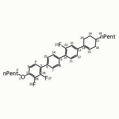 CCCCCOc1ccc(-c2ccc(-c3ccc(C4=CCC(CCCCC)CC4)cc3F)cc2)c(F)c1F